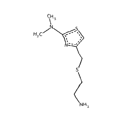 CN(C)c1nc(CSCCN)cs1